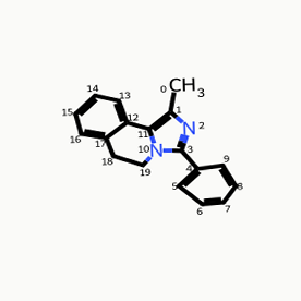 Cc1nc(-c2ccccc2)n2c1-c1ccccc1CC2